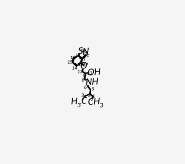 CCC(CC)CCNCC(O)COc1cccc2sncc12